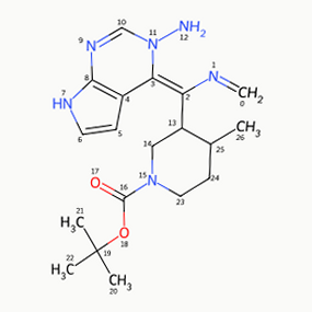 C=N/C(=C1/c2cc[nH]c2N=CN1N)C1CN(C(=O)OC(C)(C)C)CCC1C